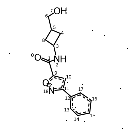 O=C(NC1CC(CO)C1)c1cc(-c2ccccc2)no1